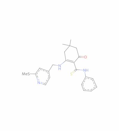 CSc1cc(CNC2=C(C(=S)Nc3ccccc3)C(=O)CC(C)(C)C2)ccn1